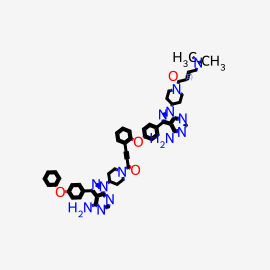 CN(C)C/C=C/C(=O)N1CCC(n2nc(-c3ccc(Oc4ccccc4C#CC(=O)N4CCC(n5nc(-c6ccc(Oc7ccccc7)cc6)c6c(N)ncnc65)CC4)cc3)c3c(N)ncnc32)CC1